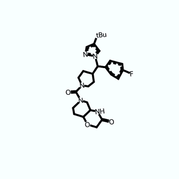 CC(C)(C)c1cnn(C(c2ccc(F)cc2)C2CCN(C(=O)N3CCC4OCC(=O)NC4C3)CC2)c1